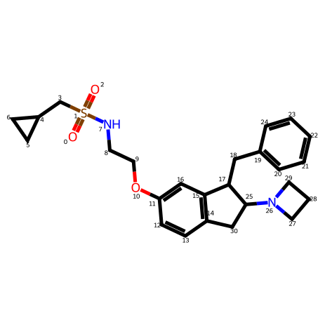 O=S(=O)(CC1CC1)NCCOc1ccc2c(c1)C(Cc1ccccc1)C(N1CCC1)C2